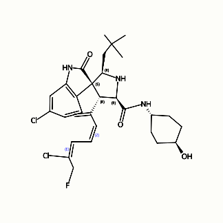 C=C(/C=C\C=C(\Cl)CF)[C@H]1[C@H](C(=O)N[C@H]2CC[C@H](O)CC2)N[C@H](CC(C)(C)C)[C@]12C(=O)Nc1cc(Cl)ccc12